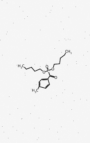 CCCCCOP(=O)(OCCCCC)C(=O)c1ccc(C)cc1